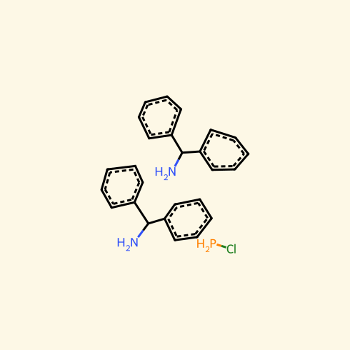 NC(c1ccccc1)c1ccccc1.NC(c1ccccc1)c1ccccc1.PCl